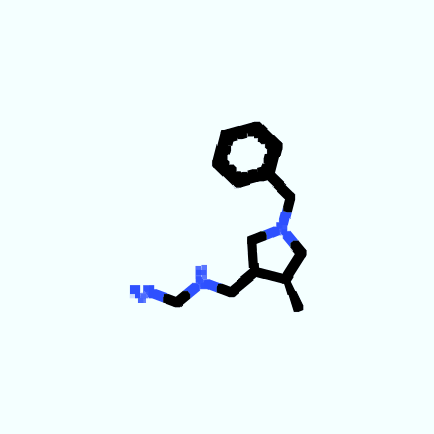 C[C@@H]1CN(Cc2ccccc2)CC1CNCN